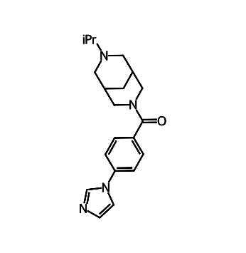 CC(C)N1CC2CC(CN(C(=O)c3ccc(-n4ccnc4)cc3)C2)C1